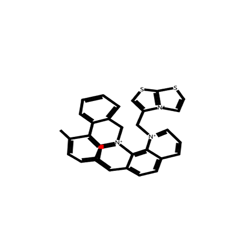 Cc1ccccc1-c1ccccc1C[n+]1cccc2ccc3ccc[n+](Cc4csc5scc[n+]45)c3c21